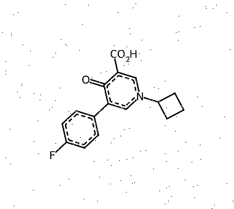 O=C(O)c1cn(C2CCC2)cc(-c2ccc(F)cc2)c1=O